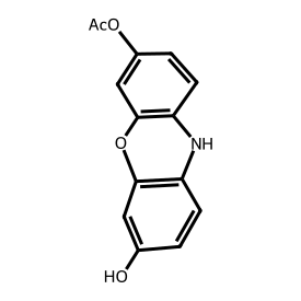 CC(=O)Oc1ccc2c(c1)Oc1cc(O)ccc1N2